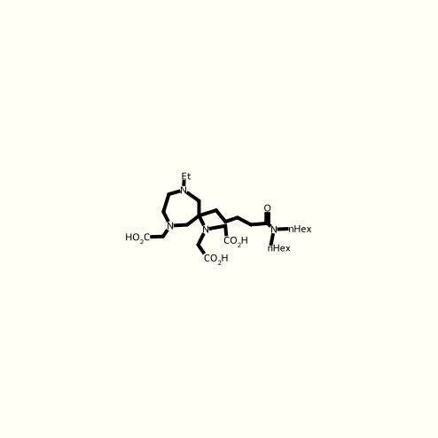 CCCCCCN(CCCCCC)C(=O)CCCCC1(N(CC(=O)O)CC(=O)O)CN(CC)CCN(CC(=O)O)C1